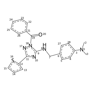 CN(C)c1ccc(CNc2nc(-c3cccs3)nn2C(=O)c2ccccc2)cc1